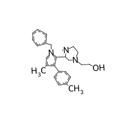 Cc1ccc(-c2c(C)cn(Cc3ccccc3)c2C2CN(CCO)CC[N]2)cc1